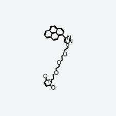 O=C1C=CC(=O)N1CCOCCOCCOCCn1cc(-c2ccc3ccc4cccc5ccc2c3c45)nn1